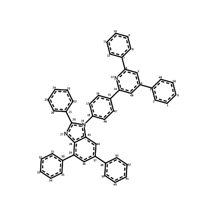 c1ccc(-c2cc(-c3ccccc3)nc(-c3ccc(-n4c(-c5ccccc5)nc5c(-c6ccccc6)cc(-c6ccccc6)cc54)cc3)c2)cc1